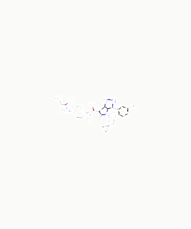 CCc1ccc(OCC2CC2)c(-c2ncnc3c(C(=O)N[C@H]4CC[C@H](NC(=O)COC)CC4)c(C)[nH]c23)c1